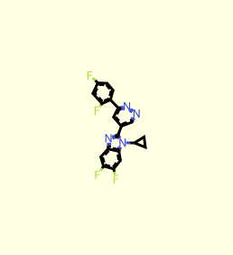 Fc1ccc(-c2cc(-c3nc4cc(F)c(F)cc4n3C3CC3)cnn2)c(F)c1